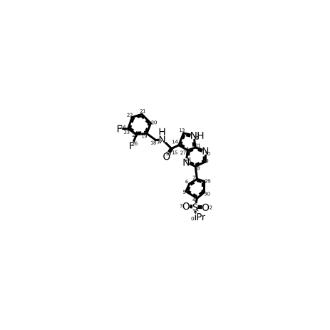 CC(C)S(=O)(=O)c1ccc(-c2cnc3[nH]cc(C(=O)NCc4cccc(F)c4F)c3n2)cc1